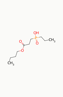 CCCCOC(=O)CCP(=O)(O)CCC